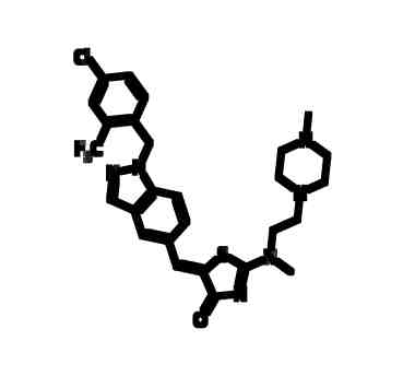 CN1CCN(CCN(C)C2=NC(=O)/C(=C/c3ccc4c(cnn4Cc4ccc(Cl)cc4C(F)(F)F)c3)S2)CC1